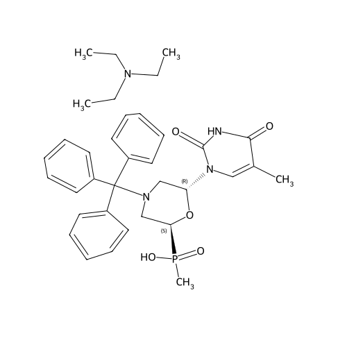 CCN(CC)CC.Cc1cn([C@H]2CN(C(c3ccccc3)(c3ccccc3)c3ccccc3)C[C@H](P(C)(=O)O)O2)c(=O)[nH]c1=O